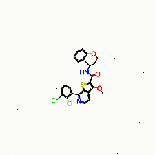 COc1c(C(=O)NC2CCOc3ccccc32)sc2c(-c3cccc(Cl)c3Cl)nccc12